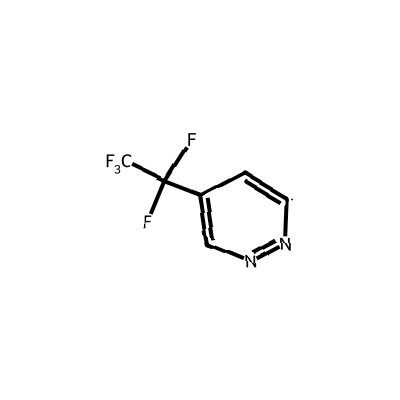 FC(F)(F)C(F)(F)c1c[c]nnc1